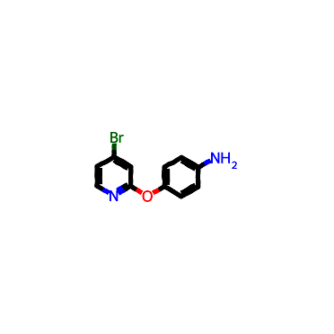 Nc1ccc(Oc2cc(Br)ccn2)cc1